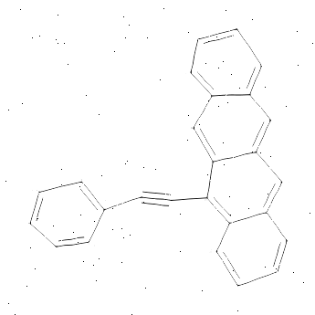 C(#Cc1c2ccccc2cc2cc3ccccc3cc12)c1ccccc1